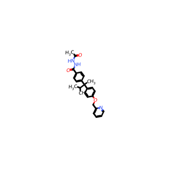 CC(=O)NNC(=O)c1ccc(C(C)(c2ccc(OCc3ccccn3)cc2)C(C)C)cc1